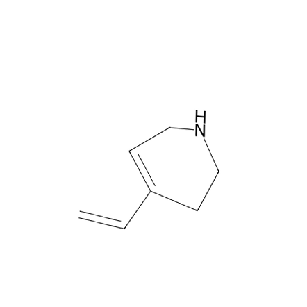 C=CC1=CCNCC1